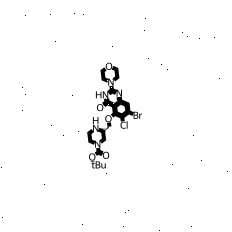 CC(C)(C)OC(=O)N1CCN[C@H](COc2c(Cl)c(Br)cc3nc(N4CCOCC4)[nH]c(=O)c23)C1